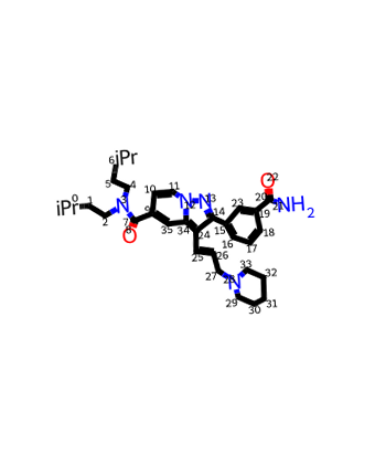 CC(C)CCN(CCC(C)C)C(=O)c1ccn2nc(-c3cccc(C(N)=O)c3)c(/C=C/CN3CCCCC3)c2c1